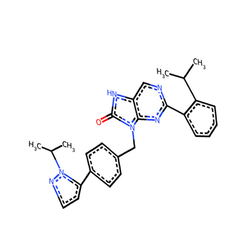 CC(C)c1ccccc1-c1ncc2[nH]c(=O)n(Cc3ccc(-c4ccnn4C(C)C)cc3)c2n1